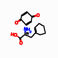 N[C@@H](CC1=CCCCC1)C(=O)O.O=C1C=CC(=O)C=C1